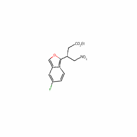 CCOC(=O)CC(C[N+](=O)[O-])c1occ2cc(F)ccc12